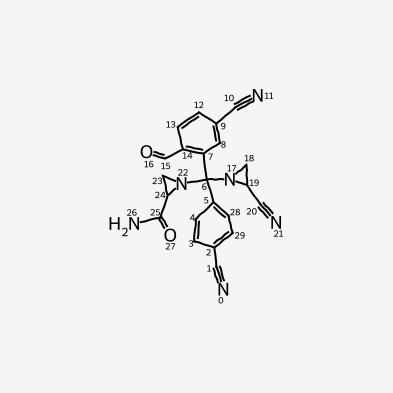 N#Cc1ccc(C(c2cc(C#N)ccc2C=O)(N2CC2C#N)N2CC2C(N)=O)cc1